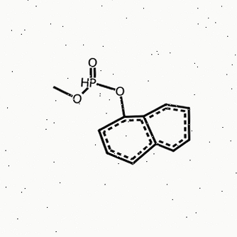 CO[PH](=O)Oc1cccc2ccccc12